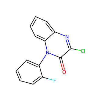 O=c1c(Cl)nc2ccccc2n1-c1ccccc1F